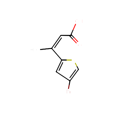 C/C(=C/C(=O)O)c1cc(Br)cs1